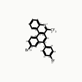 FC(F)(F)c1nc2ccccc2c2c1cc(-c1ccc(Br)cc1)c1cc(Br)ccc12